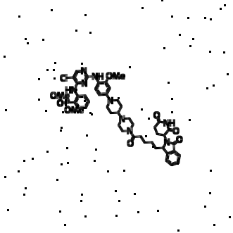 COc1cc(N2CCC(N3CCN(C(=O)CCCCC4c5ccccc5C(=O)N4C4CCC(=O)NC4=O)CC3)CC2)ccc1Nc1ncc(Cl)c(Nc2ccccc2P(=O)(OC)OC)n1